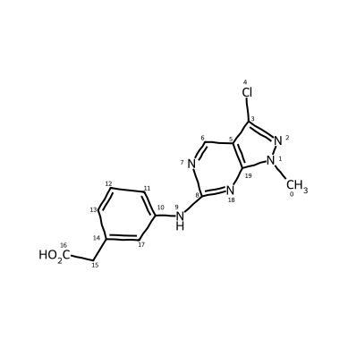 Cn1nc(Cl)c2cnc(Nc3cccc(CC(=O)O)c3)nc21